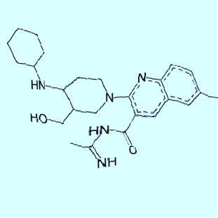 CC(=N)NC(=O)c1cc2cc(C)ccc2nc1N1CCC(NC2CCCCC2)C(CO)C1